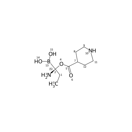 CC[C@@](N)(OC(=O)C1CCNCC1)B(O)O